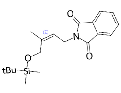 C/C(=C/CN1C(=O)c2ccccc2C1=O)CO[Si](C)(C)C(C)(C)C